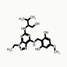 CCn1nnc2c(NCc3c(O)cc(OC)cc3O)nc(NC(CO)C(C)C)nc21